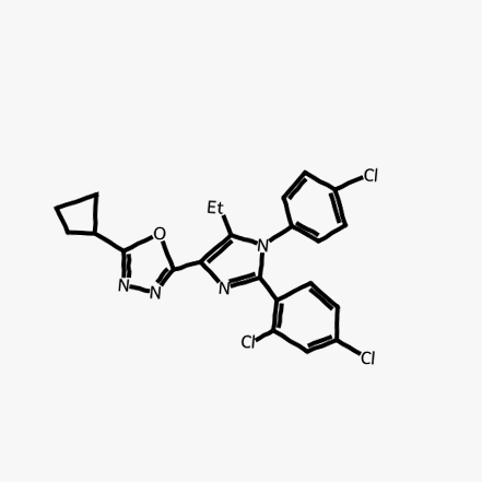 CCc1c(-c2nnc(C3CCC3)o2)nc(-c2ccc(Cl)cc2Cl)n1-c1ccc(Cl)cc1